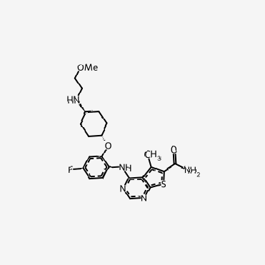 COCCN[C@H]1CC[C@H](Oc2cc(F)ccc2Nc2ncnc3sc(C(N)=O)c(C)c23)CC1